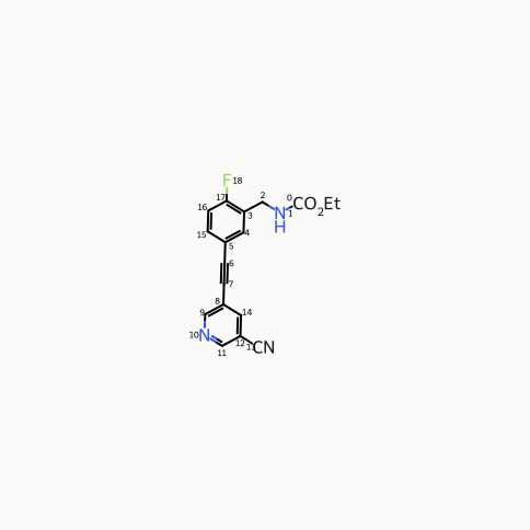 CCOC(=O)NCc1cc(C#Cc2cncc(C#N)c2)ccc1F